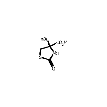 CCCCC1(C(=O)O)CSC(=O)N1